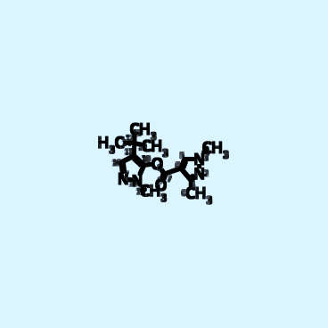 Cc1nn(C)cc1C(=O)Oc1c(C(C)(C)C)cnn1C